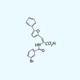 O=C(O)/C(=C/c1ccc(-c2ccccc2)o1)NC(=O)c1cccc(Br)c1